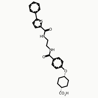 O=C(NCCNC(=O)c1ccc(-c2ccccc2)s1)c1ccc(O[C@H]2CC[C@@H](C(=O)O)CC2)cc1